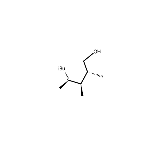 CC[C@@H](C)[C@H](C)[C@H](C)[C@@H](C)CO